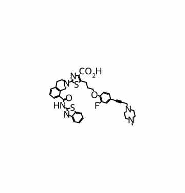 CN1CCN(CC#Cc2ccc(OCCCc3sc(N4CCc5cccc(C(=O)Nc6nc7ccccc7s6)c5C4)nc3C(=O)O)c(F)c2)CC1